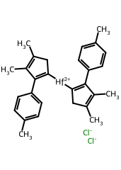 CC1=C(C)C(c2ccc(C)cc2)=[C]([Hf+2][C]2=C(c3ccc(C)cc3)C(C)=C(C)C2)C1.[Cl-].[Cl-]